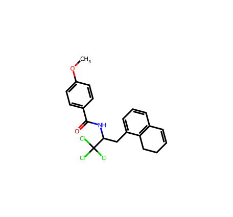 COc1ccc(C(=O)NC(Cc2cccc3c2CCC=C3)C(Cl)(Cl)Cl)cc1